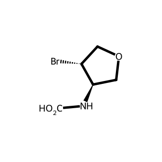 O=C(O)N[C@@H]1COC[C@H]1Br